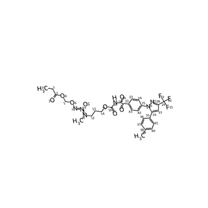 CCC(=O)OCON=[N+]([O-])N(C)CCCOC(=O)NS(=O)(=O)c1ccc(-n2nc(C(F)(F)F)cc2-c2ccc(C)cc2)cc1